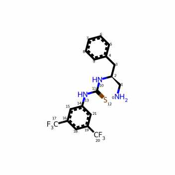 NC[C@H](Cc1ccccc1)NC(=S)Nc1cc(C(F)(F)F)cc(C(F)(F)F)c1